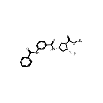 CC(C)(C)OC(=O)N1C[C@@H](NC(=O)c2cccc(NC(=O)c3ccccc3)c2)C[C@H]1C(=O)O